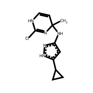 CC1(Nc2cc(C3CC3)[nH]n2)C=CNC(Cl)=N1